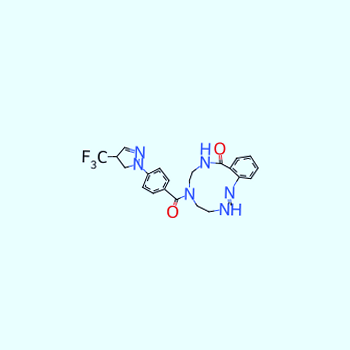 O=C1NCCN(C(=O)c2ccc(N3CC(C(F)(F)F)C=N3)cc2)CCN/C=N/c2ccccc21